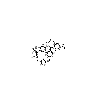 COc1ccc2c(c1)CCCC(c1ccc(NC(F)(F)F)cc1)=C2c1ccc(OC2CCN(CCCF)C2)cc1